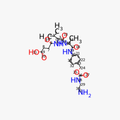 CC(C)[C@H](NC(=O)CCC(=O)O)C(=O)N[C@@H](C)C(=O)Nc1ccc(COC(=O)NCCN)cc1